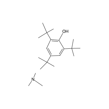 CC(C)(C)c1cc(C(C)(C)C)c(O)c(C(C)(C)C)c1.CN(C)C